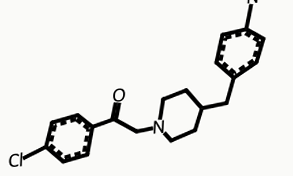 CN(C)c1ccc(CC2CCN(CC(=O)c3ccc(Cl)cc3)CC2)cc1